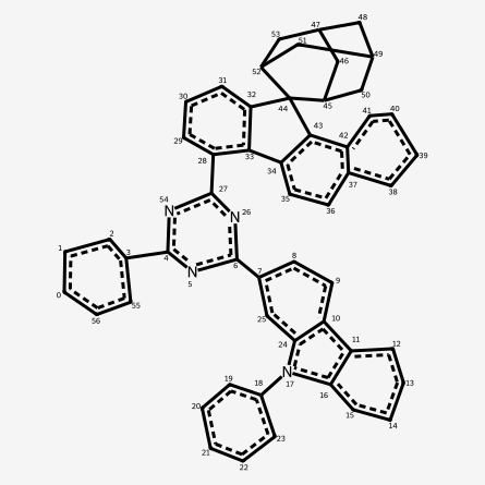 c1ccc(-c2nc(-c3ccc4c5ccccc5n(-c5ccccc5)c4c3)nc(-c3cccc4c3-c3ccc5ccccc5c3C43C4CC5CC(C4)CC3C5)n2)cc1